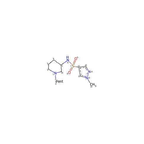 CCCC(C)N1CCCC(NS(=O)(=O)c2cnn(C)c2)C1